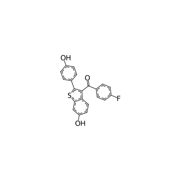 O=C(c1ccc(F)cc1)c1c(-c2ccc(O)cc2)sc2cc(O)ccc12